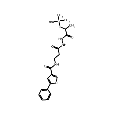 CC(O[Si](C)(C)C(C)(C)C)C(=O)NNC(=O)CCNC(=O)c1cc(-c2ccccc2)on1